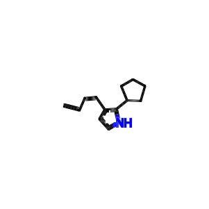 C=C/C=C\c1cc[nH]c1C1CCCC1